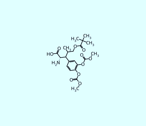 COC(=O)Oc1ccc(C(C(C)COC(=O)C(C)(C)C)[C@H](N)C(=O)O)cc1OC(=O)OC